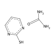 NC(N)=O.Sc1ncccn1